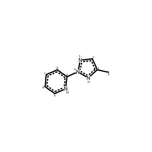 Cc1cnn(-c2ccccn2)n1